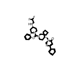 O=C(N1CC[C@@H](Cn2cnc(-c3ccccc3)cc2=O)C2(CCCC2)C1)N1CC[C@@H](NCC(F)F)C[C@H]1c1ccccc1